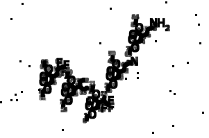 CCOC(=O)C=C(C(=O)OCC)C(C)C(F)(F)F.CCOC(=O)C=C(C(=O)OCC)C(CC)CC.CCOC(=O)C=C(CCC#N)C(=O)OCC.CCOC(=O)C=C(CCC(F)(F)F)C(=O)OCC.CCOC(=O)C=C(CCCN)C(=O)OCC